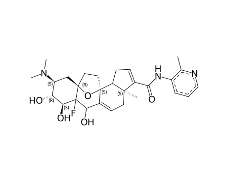 Cc1ncccc1NC(=O)C1=CCC2[C@]1(C)CC=C1C(O)C3(F)[C@@H](O)[C@H](O)[C@@H](N(C)C)C[C@]34CC[C@@]12O4